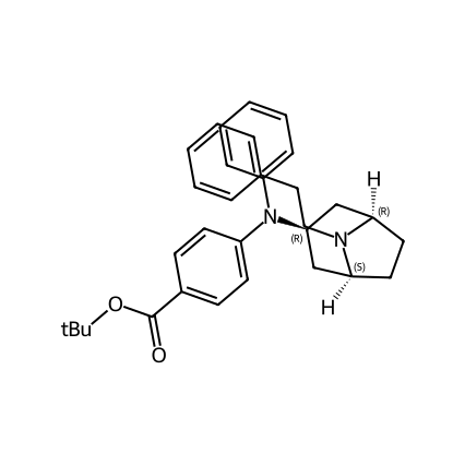 CC(C)(C)OC(=O)c1ccc(N(c2ccccc2)[C@H]2C[C@H]3CC[C@@H](C2)N3CCc2ccccc2)cc1